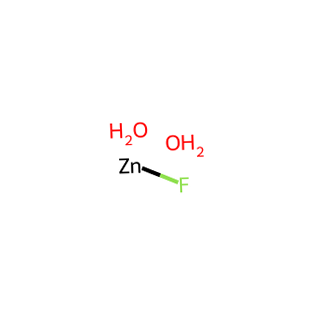 O.O.[F][Zn]